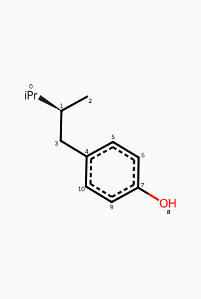 CC(C)[C@@H](C)Cc1ccc(O)cc1